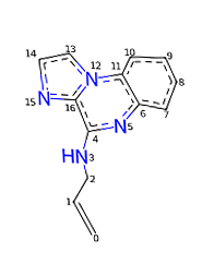 C=CCNc1nc2ccccc2n2ccnc12